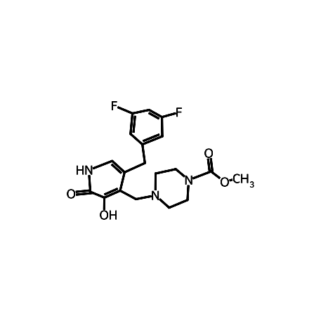 COC(=O)N1CCN(Cc2c(Cc3cc(F)cc(F)c3)c[nH]c(=O)c2O)CC1